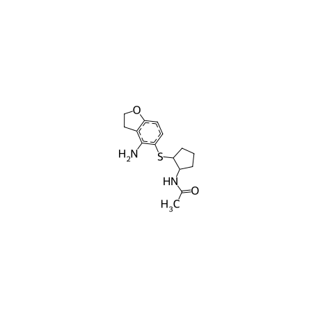 CC(=O)NC1CCCC1Sc1ccc2c(c1N)CCO2